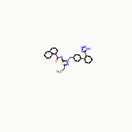 CCc1nn(Cc2ccc(-c3ccccc3-c3nnn[nH]3)cc2)c(=NC(=O)c2cccc3ccccc23)s1